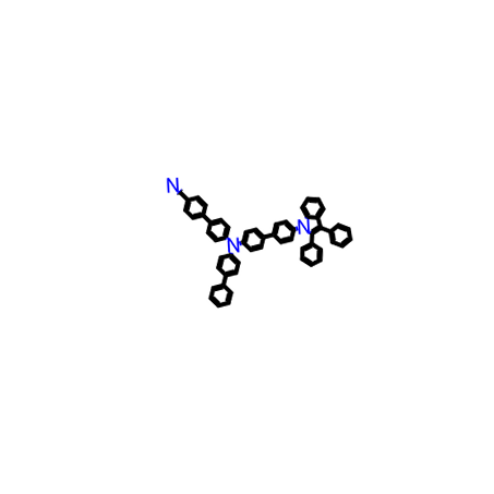 N#Cc1ccc(-c2ccc(N(c3ccc(-c4ccccc4)cc3)c3ccc(-c4ccc(-n5c(-c6ccccc6)c(-c6ccccc6)c6ccccc65)cc4)cc3)cc2)cc1